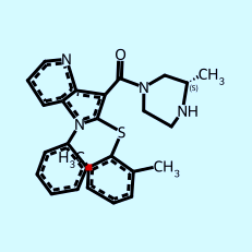 Cc1cccc(C)c1Sc1c(C(=O)N2CCN[C@@H](C)C2)c2ncccc2n1-c1ccccc1